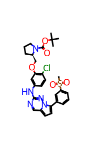 CC(C)(C)OC(=O)N1CCC[C@@H]1COc1cc(Nc2ncc3ccc(-c4cccc(S(C)(=O)=O)c4)n3n2)ccc1Cl